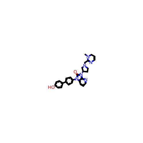 CN1CC=CN=C1CN1CCC(n2c(=O)n(-c3ccc(-c4ccc(O)cc4)cc3)c3cccnc32)C1